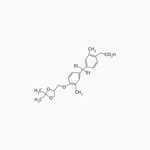 CCC(CC)(c1ccc(CC(=O)O)c(C)c1)c1ccc(OCC2COC(C)(C)O2)c(C)c1